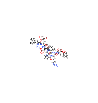 CC(C)C[C@H](NC(=O)[C@H](Cc1ccccc1)NC(=O)[C@H](CCCCN)NC(=O)[C@@H]1CCCN1C(=O)CNC(=O)C(CC(=O)O)NC(=O)C(CCC(=O)O)NC(=O)[C@@H](N)CC(C)C)C(=O)O